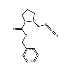 [N-]=[N+]=NC[C@@H]1CCCN1C(=O)OCc1ccccc1